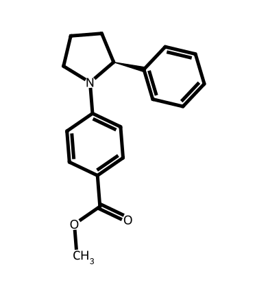 COC(=O)c1ccc(N2CCC[C@H]2c2ccccc2)cc1